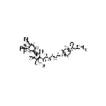 CCC(=O)N1CCN(CCCCCCCC2=C(C)C(=O)N(c3ccc(C#N)c(C(F)(F)F)c3)C2=O)CC1